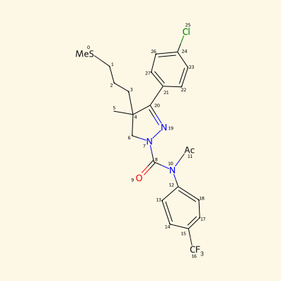 CSCCCC1(C)CN(C(=O)N(C(C)=O)c2ccc(C(F)(F)F)cc2)N=C1c1ccc(Cl)cc1